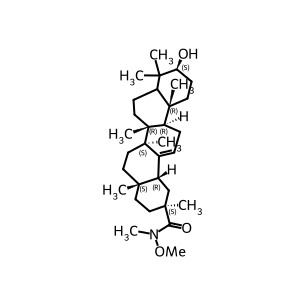 CON(C)C(=O)[C@@]1(C)CC[C@]2(C)CC[C@]3(C)C(=CC[C@@H]4[C@@]5(C)CC[C@H](O)C(C)(C)C5CC[C@]43C)[C@@H]2C1